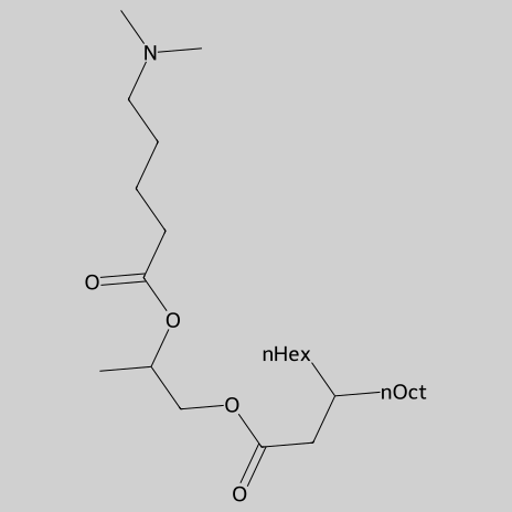 CCCCCCCCC(CCCCCC)CC(=O)OCC(C)OC(=O)CCCCN(C)C